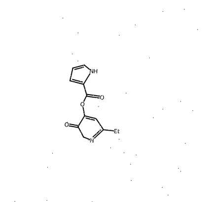 CCC1=NCC(=O)C(OC(=O)c2ccc[nH]2)=C1